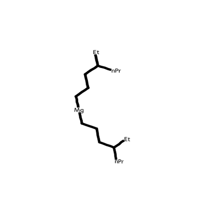 CCCC(CC)CC[CH2][Mg][CH2]CCC(CC)CCC